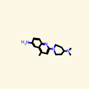 Cc1cc(N2CCC(N(C)C)CC2)nc2ccc(N)cc12